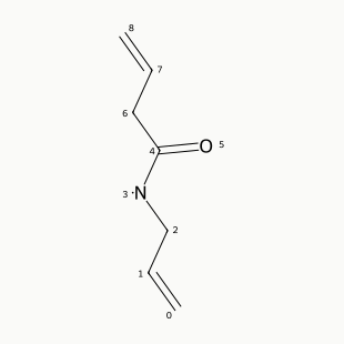 C=CC[N]C(=O)CC=C